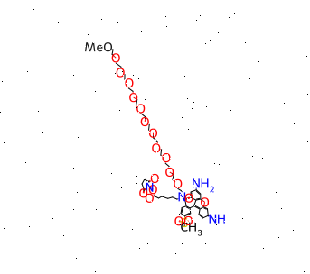 COCCOCCOCCOCCOCCOCCOCCOCCOCCOCCOCCOCCN(CCCCCC(=O)ON1C(=O)CCC1=O)C(=O)c1ccc(S(C)(=O)=O)cc1-c1c2ccc(=N)cc-2oc2cc(N)ccc12